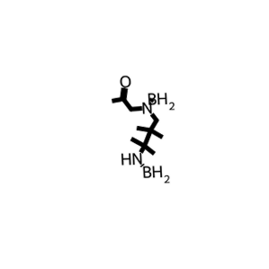 BNC(C)(C)C(C)(C)CN(B)CC(C)=O